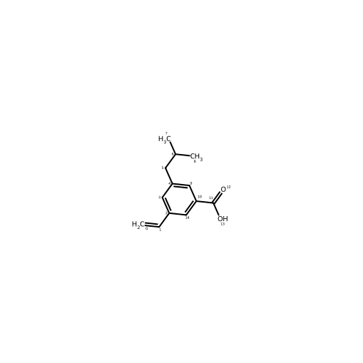 C=Cc1cc(CC(C)C)cc(C(=O)O)c1